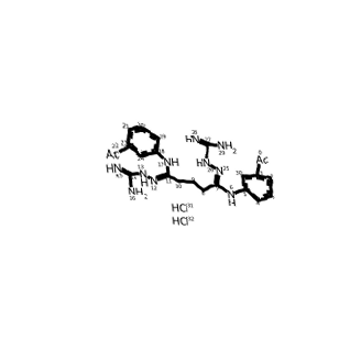 CC(=O)c1cccc(NC(CCCC(=NNC(=N)N)Nc2cccc(C(C)=O)c2)=NNC(=N)N)c1.Cl.Cl